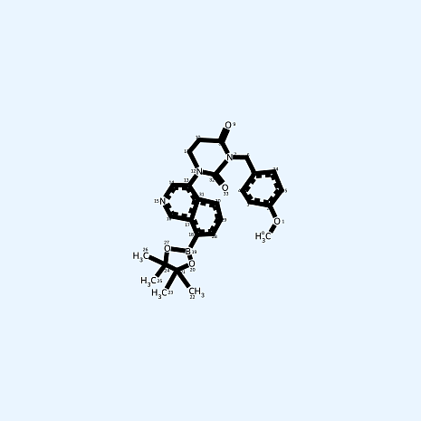 COc1ccc(CN2C(=O)CCN(c3cncc4c(B5OC(C)(C)C(C)(C)O5)cccc34)C2=O)cc1